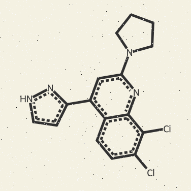 Clc1ccc2c(-c3cc[nH]n3)cc(N3CCCC3)nc2c1Cl